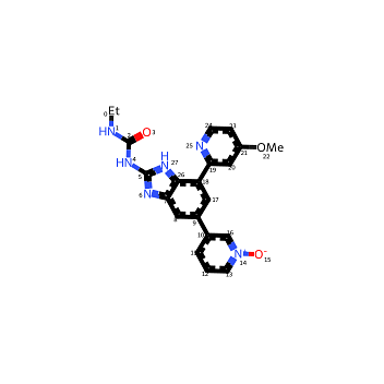 CCNC(=O)Nc1nc2cc(-c3ccc[n+]([O-])c3)cc(-c3cc(OC)ccn3)c2[nH]1